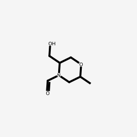 CC1CN(C=O)C(CO)CO1